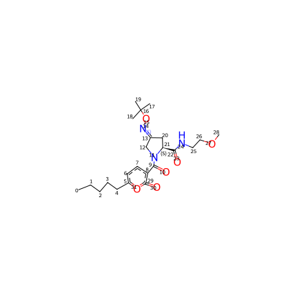 CCCCCc1ccc(C(=O)N2C/C(=N/OC(C)(C)C)C[C@H]2C(=O)NCCOC)c(=O)o1